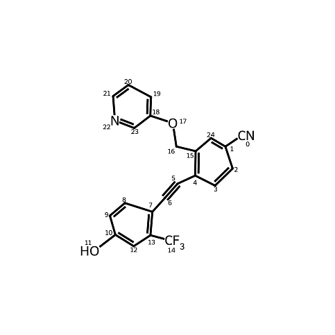 N#Cc1ccc(C#Cc2ccc(O)cc2C(F)(F)F)c(COc2cccnc2)c1